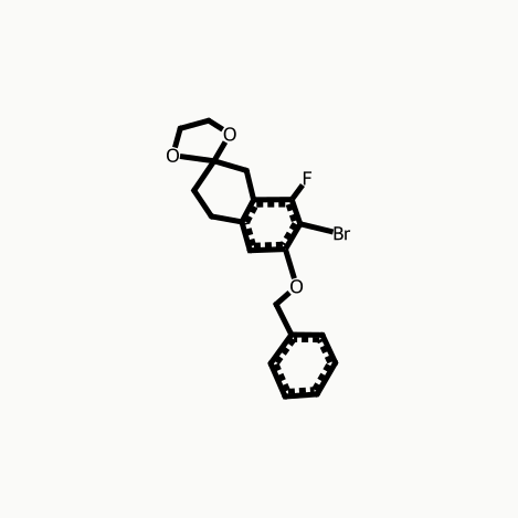 Fc1c(Br)c(OCc2ccccc2)cc2c1CC1(CC2)OCCO1